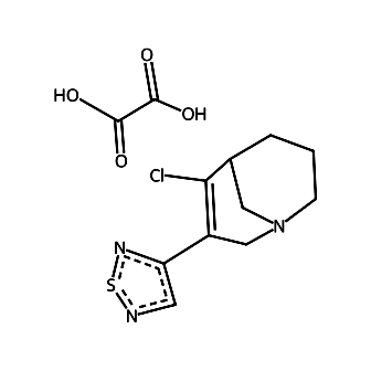 ClC1=C(c2cnsn2)CN2CCCC1C2.O=C(O)C(=O)O